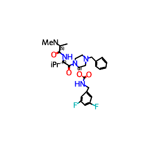 CN[C@@H](C)C(=O)N[C@H](C(=O)N1CCN(Cc2ccccc2)C[C@@H]1OC(=O)NCc1cc(F)cc(F)c1)C(C)C